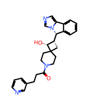 O=C(CCc1cccnc1)N1CCC2(CC1)C[C@@H]([C@H]1c3ccccc3-c3cncn31)[C@H]2O